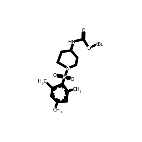 Cc1cc(C)c(S(=O)(=O)N2CCC(NC(=O)OC(C)(C)C)CC2)c(C)c1